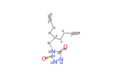 C#CCCC(CCC#C)CN1C(=O)N=NC1=O